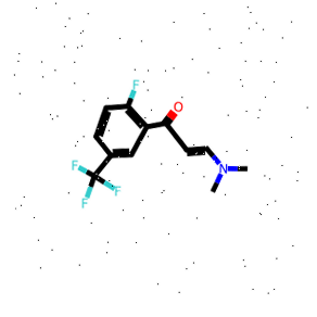 CN(C)C=CC(=O)c1cc(C(F)(F)F)ccc1F